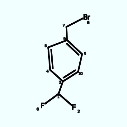 FC(F)c1ccc(CBr)cc1